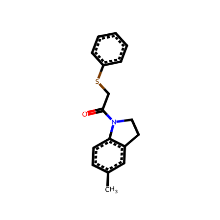 Cc1ccc2c(c1)CCN2C(=O)CSc1ccccc1